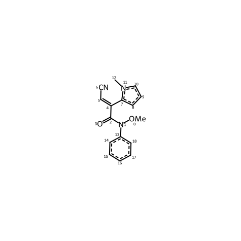 CON(C(=O)C(=CC#N)c1cccn1C)c1ccccc1